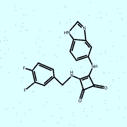 O=c1c(NCc2ccc(F)c(F)c2)c(Nc2ccc3[nH]cnc3c2)c1=O